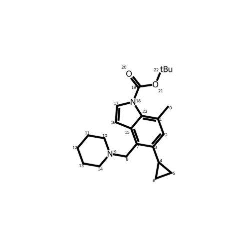 Cc1cc(C2CC2)c(CN2CCCCC2)c2ccn(C(=O)OC(C)(C)C)c12